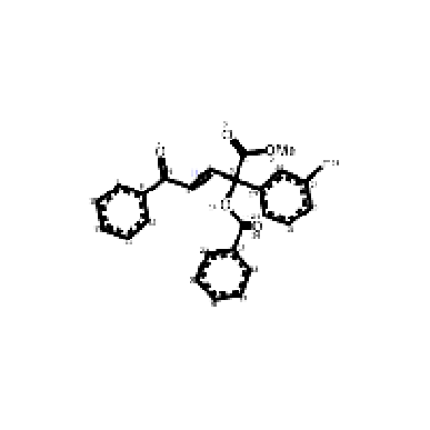 COC(=O)C(/C=C/C(=O)c1ccccc1)(OC(=O)c1ccccc1)c1cccc(F)c1